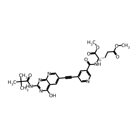 COC(=O)CC[C@H](NC(=O)c1cncc(C#Cc2cnc3nc(NC(=O)C(C)(C)C)nc(O)c3c2)c1)C(=O)OC